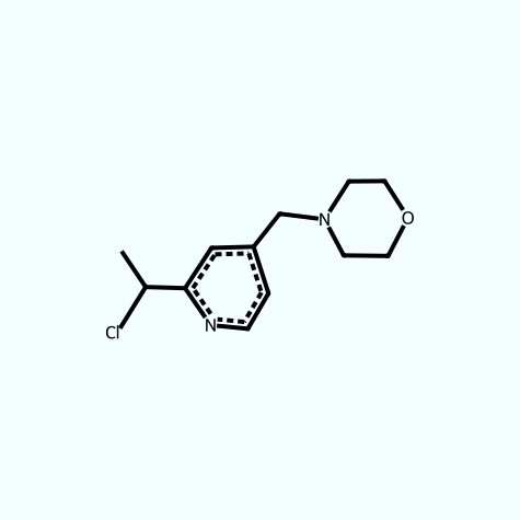 CC(Cl)c1cc(CN2CCOCC2)ccn1